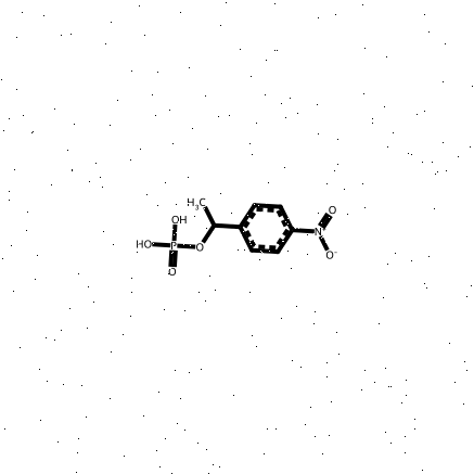 CC(OP(=O)(O)O)c1ccc([N+](=O)[O-])cc1